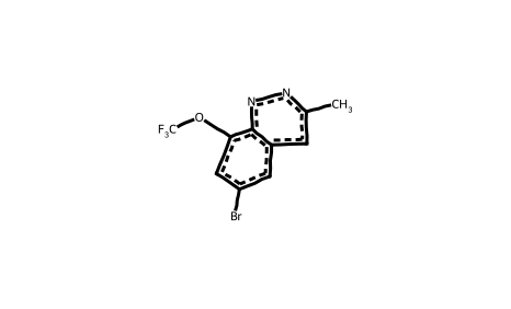 Cc1cc2cc(Br)cc(OC(F)(F)F)c2nn1